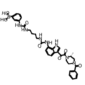 C[C@@H]1CN(C(=O)c2ccccc2)CCN1C(=O)C(=O)c1c[nH]c2c(NC(=O)NCCCCNC(=O)Nc3cccc(B(O)O)c3)cccc12